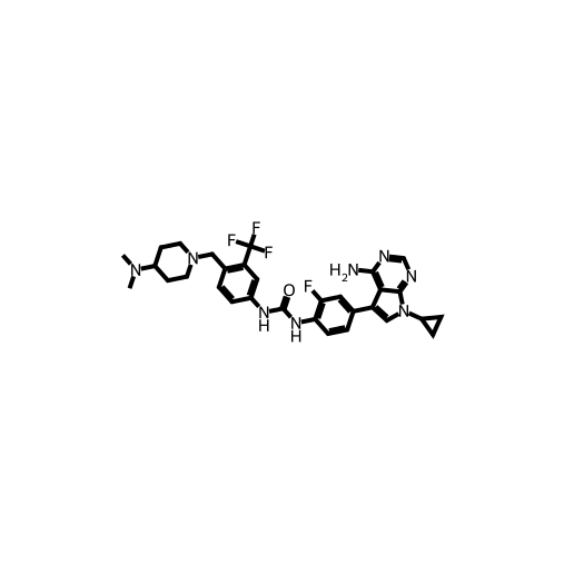 CN(C)C1CCN(Cc2ccc(NC(=O)Nc3ccc(-c4cn(C5CC5)c5ncnc(N)c45)cc3F)cc2C(F)(F)F)CC1